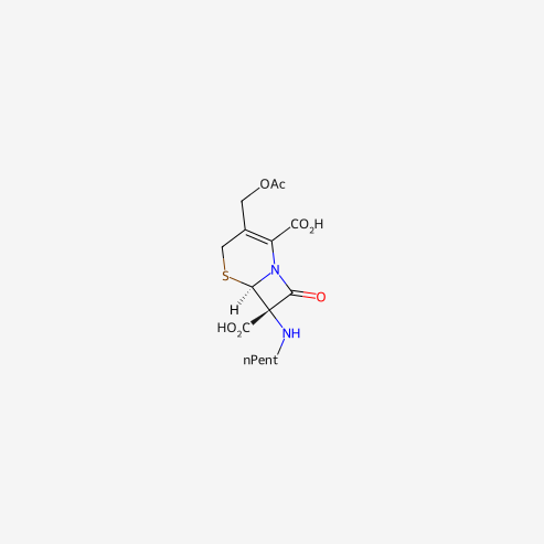 CCCCCN[C@@]1(C(=O)O)C(=O)N2C(C(=O)O)=C(COC(C)=O)CS[C@@H]21